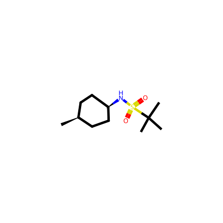 CC(C)(C)S(=O)(=O)N[C@H]1CC[C@@H](C)CC1